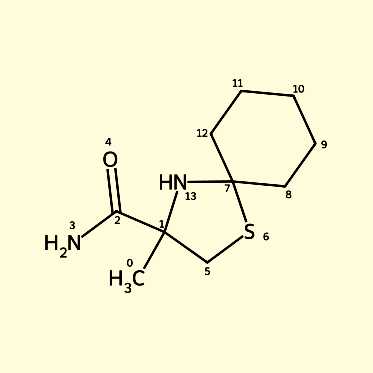 CC1(C(N)=O)CSC2(CCCCC2)N1